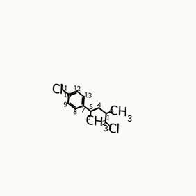 CC(CCl)CC(C)c1ccc(Cl)cc1